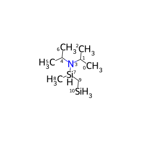 CC(C)N(C(C)C)[SiH](C)C[SiH3]